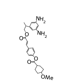 COC1CCC(C(=O)Oc2ccc(/C=C/C(=O)OCC(C)c3cc(N)cc(N)c3)cc2)CC1